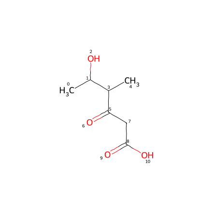 CC(O)C(C)C(=O)CC(=O)O